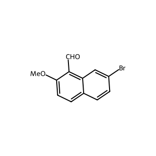 COc1ccc2ccc(Br)cc2c1C=O